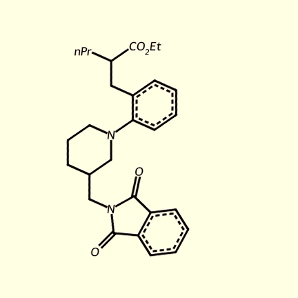 CCCC(Cc1ccccc1N1CCCC(CN2C(=O)c3ccccc3C2=O)C1)C(=O)OCC